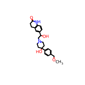 COCc1ccc(C2(O)CCN(CC(O)c3ccc4c(c3)CCC(=O)N4)CC2)cc1